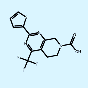 O=C(O)N1CCc2c(nc(-c3cccs3)nc2C(F)(F)F)C1